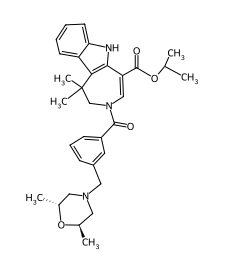 CC(C)OC(=O)C1=CN(C(=O)c2cccc(CN3C[C@@H](C)O[C@H](C)C3)c2)CC(C)(C)c2c1[nH]c1ccccc21